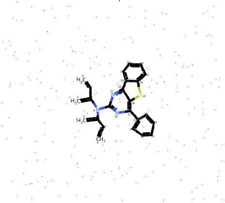 C=CC(=C)N(C(=C)C=C)c1nc(-c2ccccc2)c2sc3ccccc3c2n1